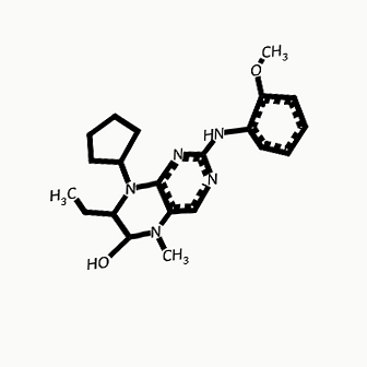 CCC1C(O)N(C)c2cnc(Nc3ccccc3OC)nc2N1C1CCCC1